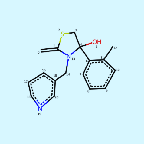 C=C1SCC(O)(c2ccccc2C)N1Cc1cccnc1